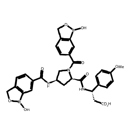 COc1ccc([C@H](CC(=O)O)NC(=O)[C@H]2C[C@@H](NC(=O)c3ccc4c(c3)B(O)OC4)CN2C(=O)c2ccc3c(c2)B(O)OC3)cc1